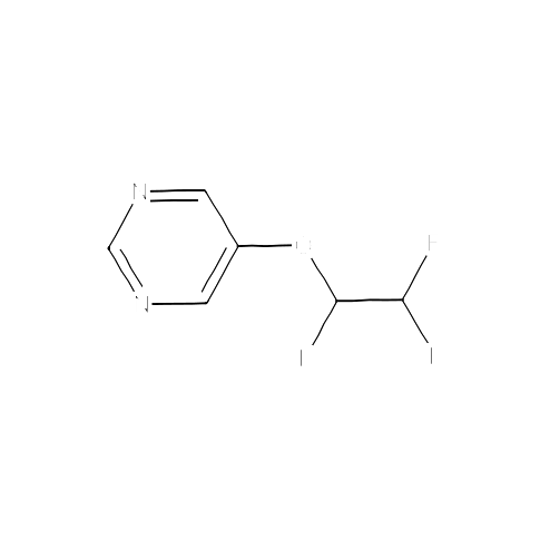 FC(F)C(F)Oc1cncnc1